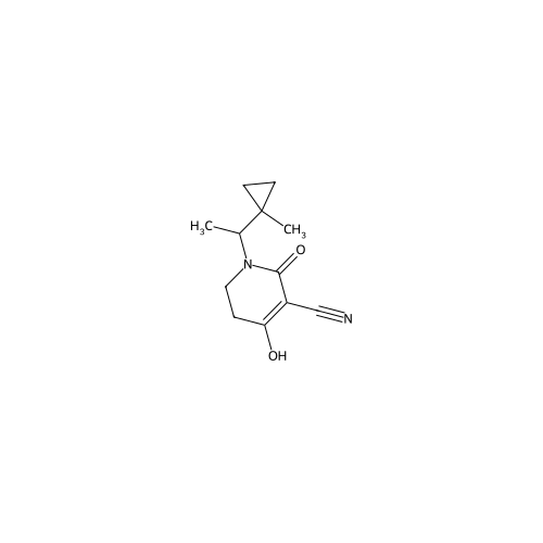 CC(N1CCC(O)=C(C#N)C1=O)C1(C)CC1